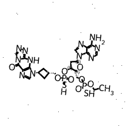 CCOP(=O)(S)OC[C@H]1O[C@@H](n2cnc3c(N)ncnc32)C[C@@H]1OP(=O)(S)OC[C@H]1C[C@@H](n2cnc3c(=O)n4cnnc4[nH]c32)C1